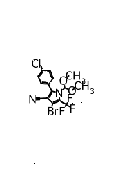 COC(OC)n1c(-c2ccc(Cl)cc2)c(C#N)c(Br)c1C(F)(F)F